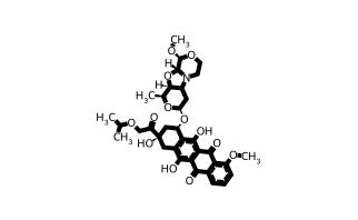 COc1cccc2c1C(=O)c1c(O)c3c(c(O)c1C2=O)C[C@@](O)(C(=O)COC(C)C)C[C@@H]3O[C@H]1CC2[C@H](O[C@@H]3[C@@H](OC)OCCN23)[C@H](C)O1